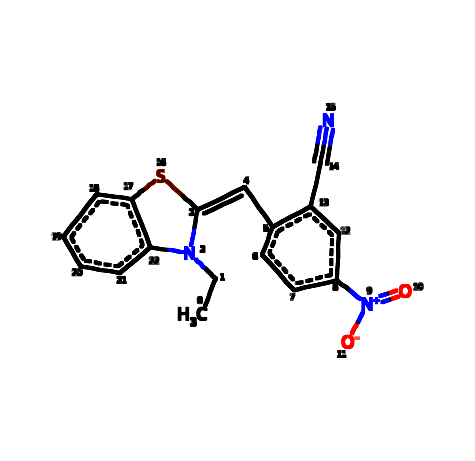 CCN1C(=Cc2ccc([N+](=O)[O-])cc2C#N)Sc2ccccc21